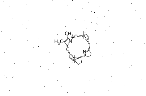 CC1=C(C)c2cc3cc4c([nH]3)c(c3nc(cc5ccc(cc1n2)[nH]5)CC3)CC4